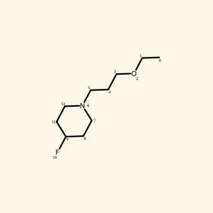 CCOCCCN1CCC(F)CC1